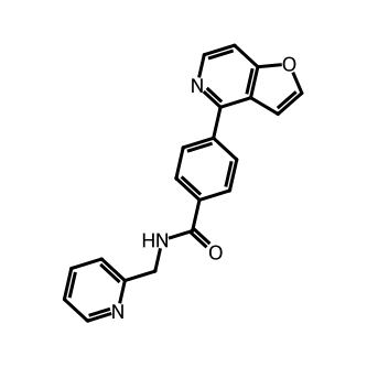 O=C(NCc1ccccn1)c1ccc(-c2nccc3occc23)cc1